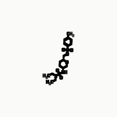 CCN(CC)S(=O)(=O)N[C@@H]1CC[C@@H](COS(=O)(=O)c2ccc(C)cc2)OC1